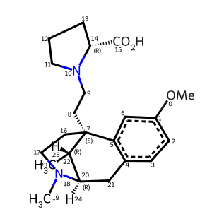 COc1ccc2c(c1)[C@]1(CCN3CCC[C@@H]3C(=O)O)CCN(C)[C@H](C2)[C@@H]1C